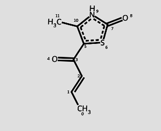 CC=CC(=O)c1sc(=O)[nH]c1C